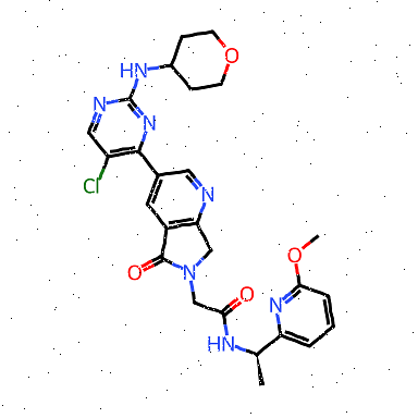 COc1cccc([C@@H](C)NC(=O)CN2Cc3ncc(-c4nc(NC5CCOCC5)ncc4Cl)cc3C2=O)n1